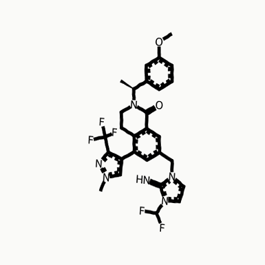 COc1cccc([C@H](C)N2CCc3c(cc(Cn4ccn(C(F)F)c4=N)cc3-c3cn(C)nc3C(F)(F)F)C2=O)c1